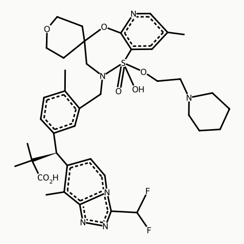 Cc1cnc2c(c1)S(=O)(O)(OCCN1CCCCC1)N(Cc1cc([C@@H](c3ccn4c(C(F)F)nnc4c3C)C(C)(C)C(=O)O)ccc1C)CC1(CCOCC1)O2